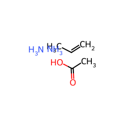 C=CC.CC(=O)O.N.N